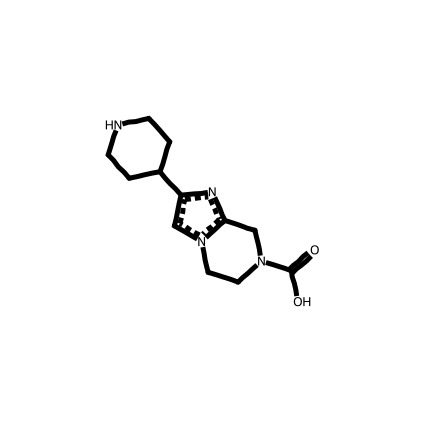 O=C(O)N1CCn2cc(C3CCNCC3)nc2C1